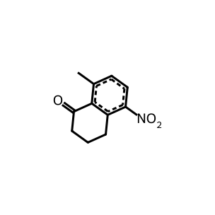 Cc1ccc([N+](=O)[O-])c2c1C(=O)CCC2